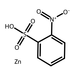 O=[N+]([O-])c1ccccc1S(=O)(=O)O.[Zn]